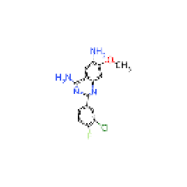 COc1cc2nc(-c3ccc(F)c(Cl)c3)nc(N)c2cc1N